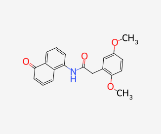 COc1ccc(OC)c(CC(=O)Nc2cccc3c2C=C=CC3=O)c1